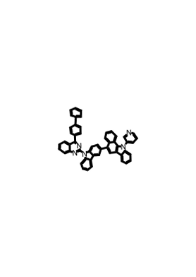 c1ccc(-c2ccc(-c3nc(-n4c5ccccc5c5cc(-c6cc7c8ccccc8n(-c8cccnc8)c7c7ccccc67)ccc54)nc4ccccc34)cc2)cc1